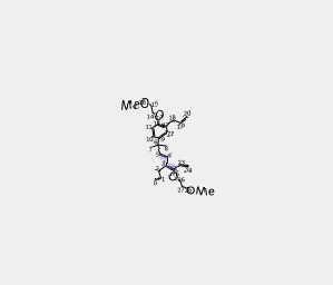 C=CCC(/C=C/C(C)(C)c1ccc(OCCOC)c(CC=C)c1)=C(/C=C)OCCOC